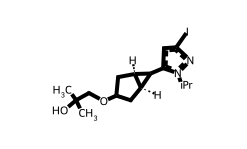 CC(C)n1nc(I)cc1C1[C@H]2CC(OCC(C)(C)O)C[C@@H]12